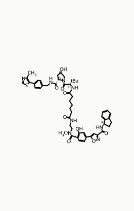 Cc1ncsc1-c1ccc(CNC(=O)[C@@H]2C[C@@H](O)CN2C(=O)[C@@H](NC(=O)CCCCCC(=O)NCCN(C)C(=O)c2ccc(-c3cc(C(=O)N[C@@H]4CCc5ccccc54)no3)cc2O)C(C)(C)C)cc1